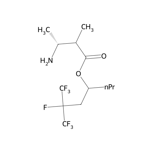 CCCC(CC(F)(C(F)(F)F)C(F)(F)F)OC(=O)C(C)[C@@H](C)N